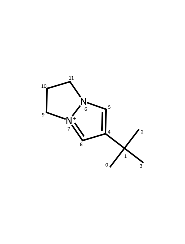 CC(C)(C)c1cn2[n+](c1)CCC2